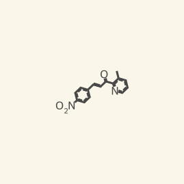 Cc1cccnc1C(=O)/C=C/c1ccc([N+](=O)[O-])cc1